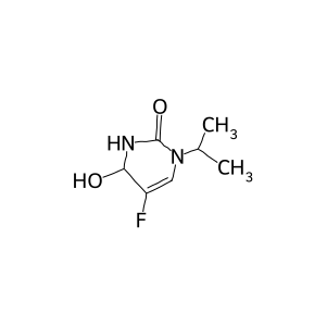 CC(C)N1C=C(F)C(O)NC1=O